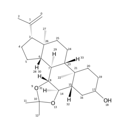 C=C(C)[C@H]1CC[C@H]2[C@@H]3[C@H]4OC(C)(C)O[C@@H]4[C@H]4CC(O)CC[C@]4(C)[C@H]3CC[C@]12C